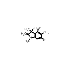 C=C1N(C)c2cc(Br)c(C)c(Br)c2C1(C)C